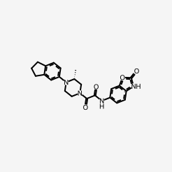 C[C@@H]1CN(C(=O)C(=O)Nc2ccc3[nH]c(=O)oc3c2)CCN1c1ccc2c(c1)CCC2